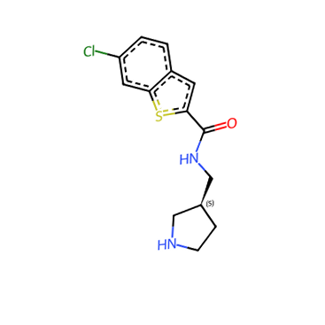 O=C(NC[C@H]1CCNC1)c1cc2ccc(Cl)cc2s1